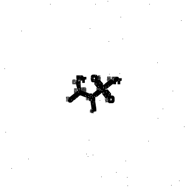 CC(C)[C@H](C)N(C)S(=O)(=O)C(C)C